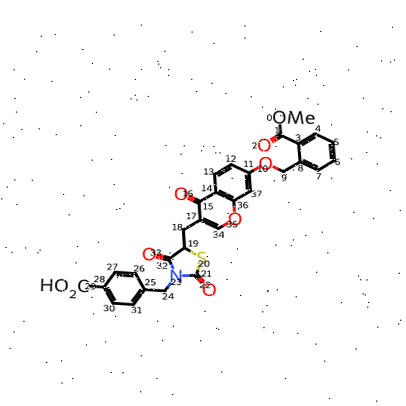 COC(=O)c1ccccc1COc1ccc2c(=O)c(CC3SC(=O)N(Cc4ccc(C(=O)O)cc4)C3=O)coc2c1